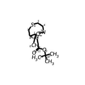 CC1CN2CCSCC1CN(C(=O)OC(C)(C)C)C2